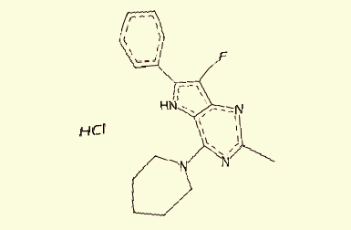 Cc1nc(N2CCCCC2)c2[nH]c(-c3ccccc3)c(F)c2n1.Cl